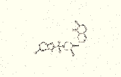 O=C1CN(S(=O)(=O)c2cc3ccc(Cl)cc3s2)CCN1Cc1ccc2ccc(=O)[nH]c2c1